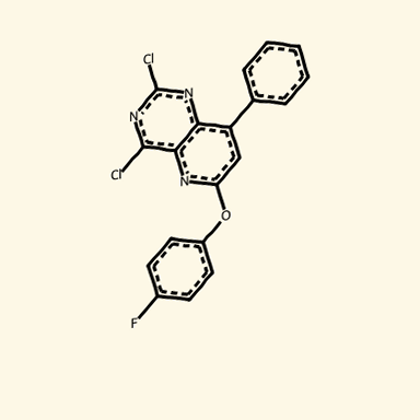 Fc1ccc(Oc2cc(-c3ccccc3)c3nc(Cl)nc(Cl)c3n2)cc1